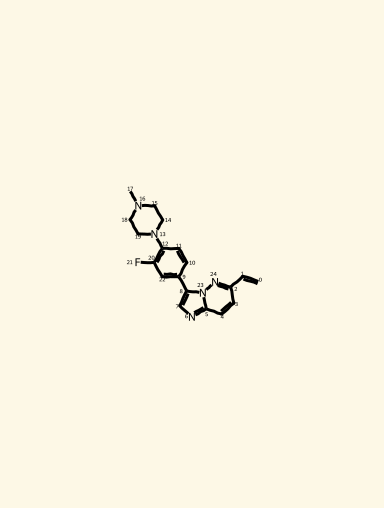 C=Cc1ccc2ncc(-c3ccc(N4CCN(C)CC4)c(F)c3)n2n1